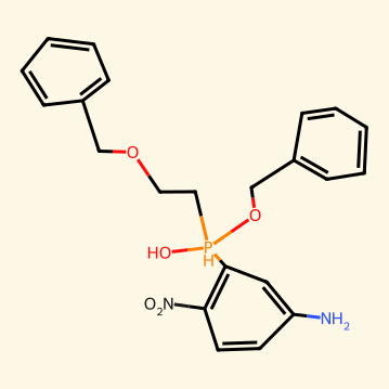 Nc1ccc([N+](=O)[O-])c([PH](O)(CCOCc2ccccc2)OCc2ccccc2)c1